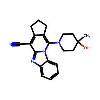 CC1(O)CCN(c2c3c(c(C#N)c4nc5ccccc5n24)CCC3)CC1